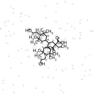 CCC(CC(C1CC(C)(C)N(CCO)C(C)(C)C1)C1CC(C)(C)N(CCO)C(C)(C)C1)(C(=O)O)C(=O)O